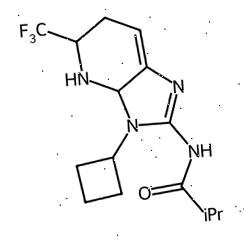 CC(C)C(=O)NC1=NC2=CCC(C(F)(F)F)NC2N1C1CCC1